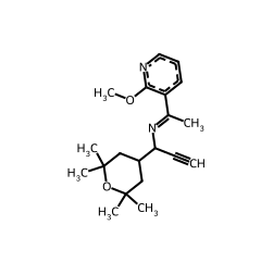 C#CC(/N=C(\C)c1cccnc1OC)C1CC(C)(C)OC(C)(C)C1